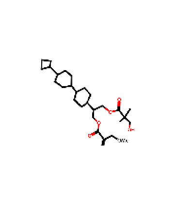 C=C(COC)C(=O)OCC(COC(=O)C(C)(C)CO)C1CCC(C2CCC(C3CCC3)CC2)CC1